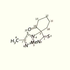 CNC(=S)C1(n2cnc(C)c2)CCCCC1=O